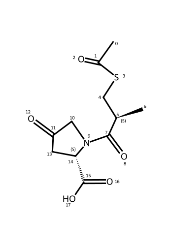 CC(=O)SC[C@@H](C)C(=O)N1CC(=O)C[C@H]1C(=O)O